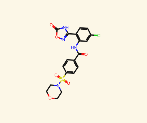 O=C(Nc1cc(Cl)ccc1-c1noc(=O)[nH]1)c1ccc(S(=O)(=O)N2CCOCC2)cc1